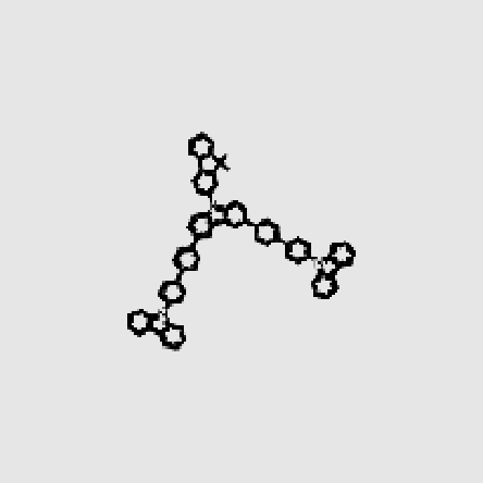 CC1(C)c2ccccc2-c2ccc(-n3c4ccc(-c5ccc(-c6ccc(-n7c8ccccc8c8ccccc87)cc6)cc5)cc4c4cc(-c5ccc(-c6ccc(-n7c8ccccc8c8ccccc87)cc6)cc5)ccc43)cc21